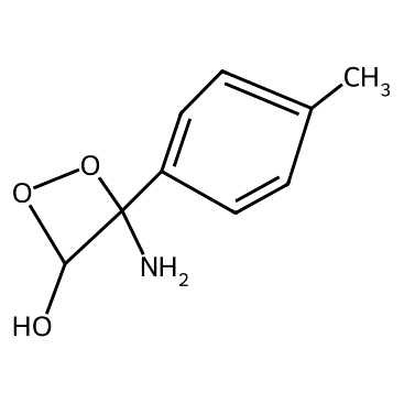 Cc1ccc(C2(N)OOC2O)cc1